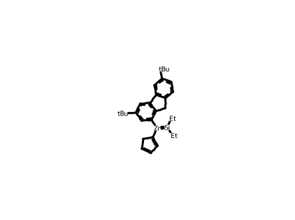 CC[Si](CC)=[Zr]([C]1=CC=CC1)[c]1cc(C(C)(C)C)cc2c1Cc1ccc(C(C)(C)C)cc1-2